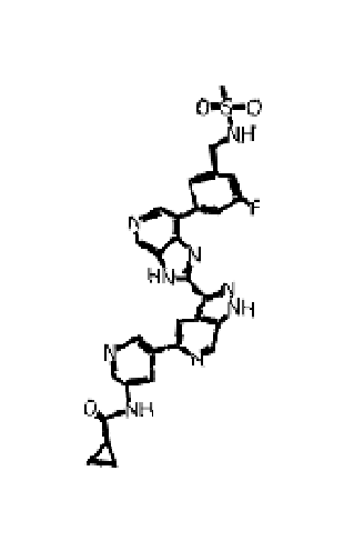 CS(=O)(=O)NCc1cc(F)cc(-c2cncc3[nH]c(-c4n[nH]c5cnc(-c6cncc(NC(=O)C7CC7)c6)cc45)nc23)c1